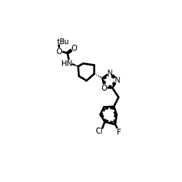 CC(C)(C)OC(=O)N[C@H]1CC[C@H](c2nnc(Cc3ccc(Cl)c(F)c3)o2)CC1